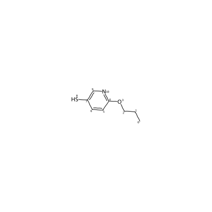 CCCOc1ccc(S)cn1